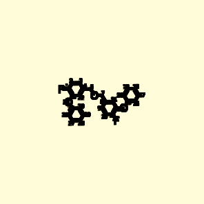 Fc1ccc(COCc2ccc(F)c(Oc3ccccc3)c2)cc1Oc1ccccc1